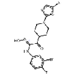 O=C(/C(=N/O)Nc1ccc(F)c(Br)c1)C1CCN(c2ncc(Br)s2)CC1